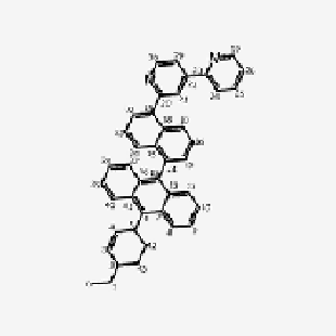 CCC1C=CC(c2c3ccccc3c(-c3cccc4c(-c5cc(-c6ccccn6)ccn5)cccc34)c3ccccc23)CC1